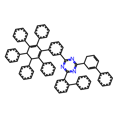 C1=CC(c2ccccc2)=CC(c2nc(-c3cccc(C4=C(c5ccccc5)C(c5ccccc5)C(c5ccccc5)C(c5ccccc5)=C4c4ccccc4)c3)nc(-c3ccccc3-c3ccccc3)n2)C1